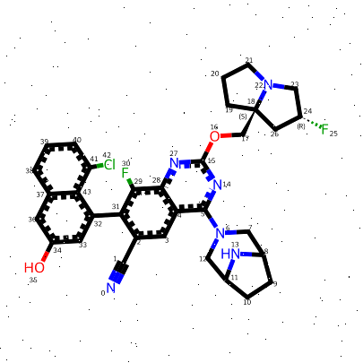 N#Cc1cc2c(N3CC4CCC(C3)N4)nc(OC[C@@]34CCCN3C[C@H](F)C4)nc2c(F)c1-c1cc(O)cc2cccc(Cl)c12